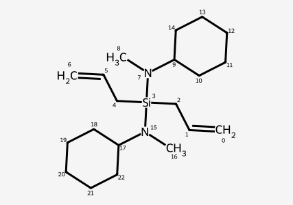 C=CC[Si](CC=C)(N(C)C1CCCCC1)N(C)C1CCCCC1